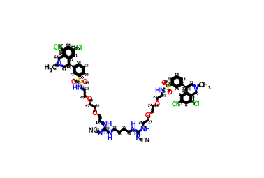 CN1Cc2c(Cl)cc(Cl)cc2[C@@H](c2cccc(S(=O)(=O)NCCOCCOCCN/C(=N\C#N)NCCCCN/C(=N/C#N)NCCOCCOCCNS(=O)(=O)c3cccc([C@H]4CN(C)Cc5c(Cl)cc(Cl)cc54)c3)c2)C1